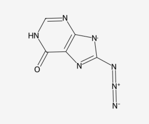 [N-]=[N+]=NC1=Nc2c(nc[nH]c2=O)[N]1